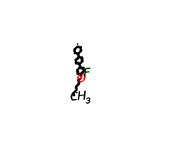 CCCCCCOc1ccc(-c2ccc(C3CC[CH]CC3)cc2)cc1F